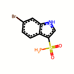 O=S(=O)(P)c1c[nH]c2cc(Br)ccc12